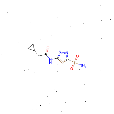 NS(=O)(=O)c1nnc(NC(=O)CC2CC2)s1